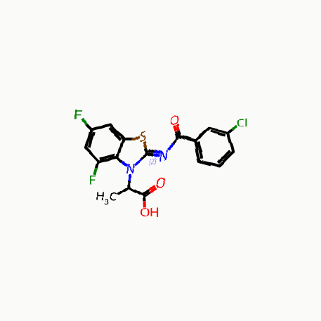 CC(C(=O)O)n1/c(=N/C(=O)c2cccc(Cl)c2)sc2cc(F)cc(F)c21